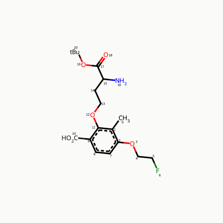 Cc1c(OCCF)ccc(C(=O)O)c1OCCC(N)C(=O)OC(C)(C)C